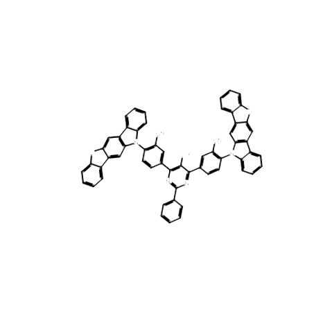 N#Cc1cc(-c2nc(-c3ccccc3)nc(-c3ccc(-n4c5ccccc5c5cc6sc7ccccc7c6cc54)c(C#N)c3)c2C#N)ccc1-n1c2ccccc2c2cc3sc4ccccc4c3cc21